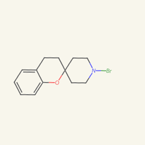 BrN1CCC2(CCc3ccccc3O2)CC1